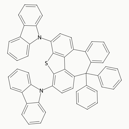 c1ccc(C2(c3ccccc3)c3ccccc3-c3ccc(-n4c5ccccc5c5ccccc54)c4sc5c(-n6c7ccccc7c7ccccc76)ccc2c5c34)cc1